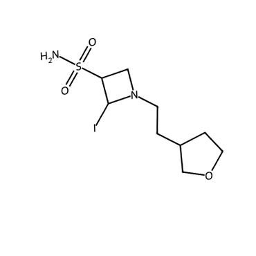 NS(=O)(=O)C1CN(CCC2CCOC2)C1I